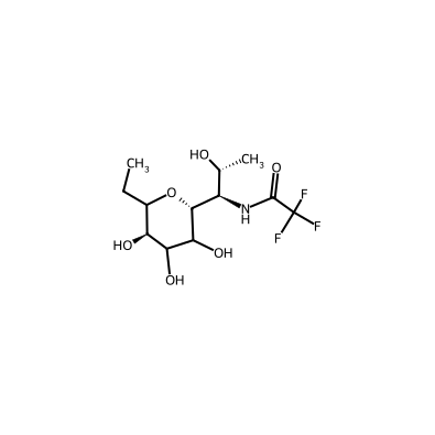 CCC1O[C@H]([C@H](NC(=O)C(F)(F)F)[C@@H](C)O)C(O)C(O)[C@H]1O